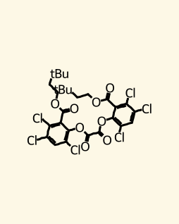 CC(C)(C)CCOC(=O)c1c(Cl)c(Cl)cc(Cl)c1OC(=O)C(=O)Oc1c(Cl)cc(Cl)c(Cl)c1C(=O)OCCC(C)(C)C